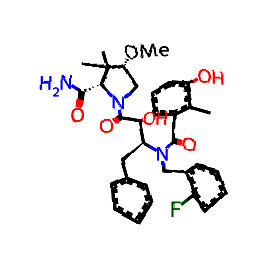 CO[C@@H]1CN(C(=O)[C@@H](O)[C@H](Cc2ccccc2)N(Cc2ccccc2F)C(=O)c2cccc(O)c2C)[C@H](C(N)=O)C1(C)C